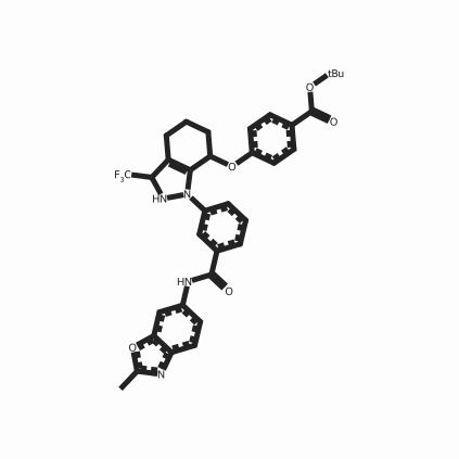 Cc1nc2ccc(NC(=O)c3cccc(N4NC(C(F)(F)F)C5=C4C(Oc4ccc(C(=O)OC(C)(C)C)cc4)CCC5)c3)cc2o1